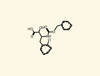 O=C(NC(Cc1ccccc1Cl)C(O)C(=O)O)OCc1ccccc1